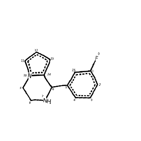 Fc1cccc(C2NCCn3cccc32)c1